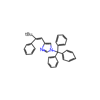 CC(C)(C)/C(=C/c1cn(C(c2ccccc2)(c2ccccc2)c2ccccc2)cn1)c1ccccc1